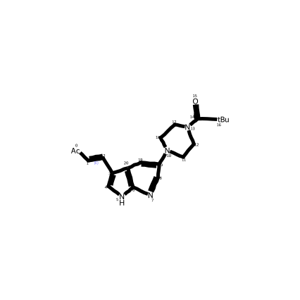 CC(=O)/C=C/c1c[nH]c2ncc(N3CCN(C(=O)C(C)(C)C)CC3)cc12